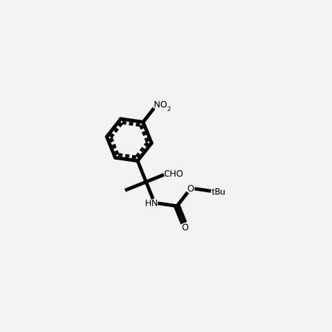 CC(C)(C)OC(=O)NC(C)(C=O)c1cccc([N+](=O)[O-])c1